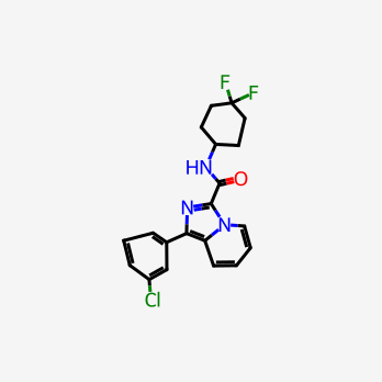 O=C(NC1CCC(F)(F)CC1)c1nc(-c2cccc(Cl)c2)c2ccccn12